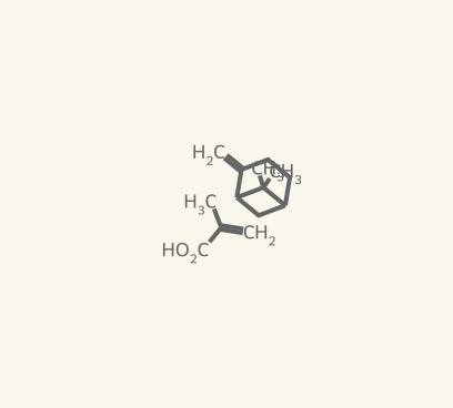 C=C(C)C(=O)O.C=C1CCC2CC1C2(C)C